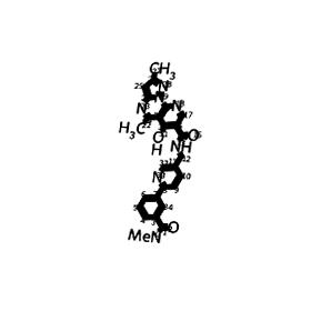 CNC(=O)c1cccc(-c2ccc(CNC(=O)c3cnc4c(c(C)nc5cc(C)nn54)c3O)cn2)c1